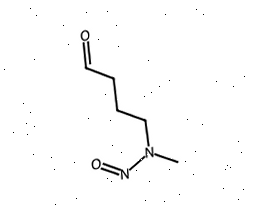 CN(CCCC=O)N=O